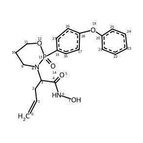 C=CCC(C(=O)NO)N1CCCOP1(=O)c1ccc(Oc2ccccc2)cc1